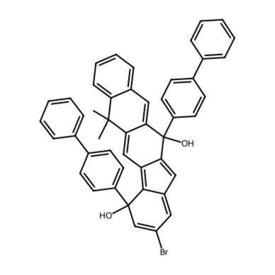 CC1(C)C2=CC3=C4C(=CC(Br)=CC4(O)c4ccc(-c5ccccc5)cc4)C=C3C(O)(c3ccc(-c4ccccc4)cc3)C2=Cc2ccccc21